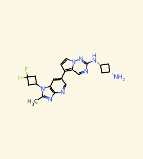 Cc1nc2ncc(-c3ccn4nc(N[C@H]5C[C@@H](N)C5)ncc34)cc2n1C1CC(F)(F)C1